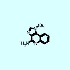 CC(C)(C)n1cnc2c(N)nc3ccccc3c21